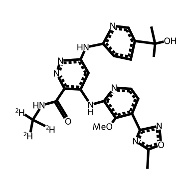 [2H]C([2H])([2H])NC(=O)c1nnc(Nc2ccc(C(C)(C)O)cn2)cc1Nc1nccc(-c2noc(C)n2)c1OC